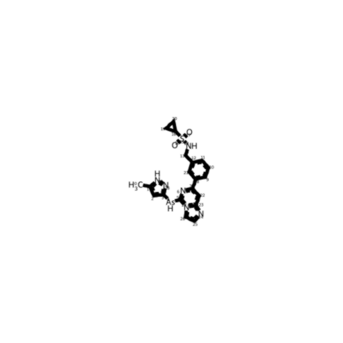 Cc1cc([AsH]c2nc(-c3cccc(CNS(=O)(=O)C4CC4)c3)cc3nccn23)n[nH]1